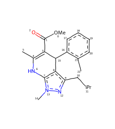 COC(=O)C1=C(C)Nc2c(c(CC(C)C)nn2C)C1c1ccccc1C